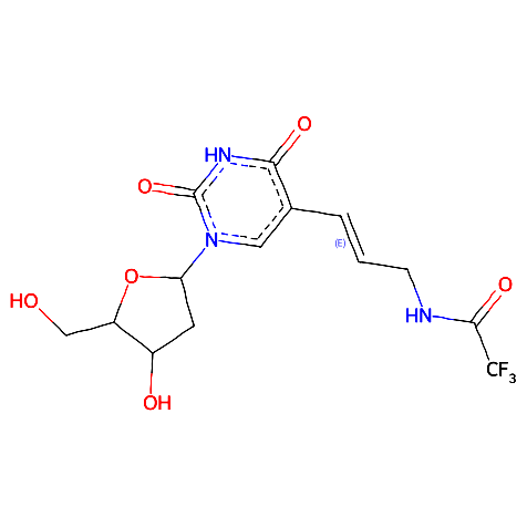 O=C(NC/C=C/c1cn(C2CC(O)C(CO)O2)c(=O)[nH]c1=O)C(F)(F)F